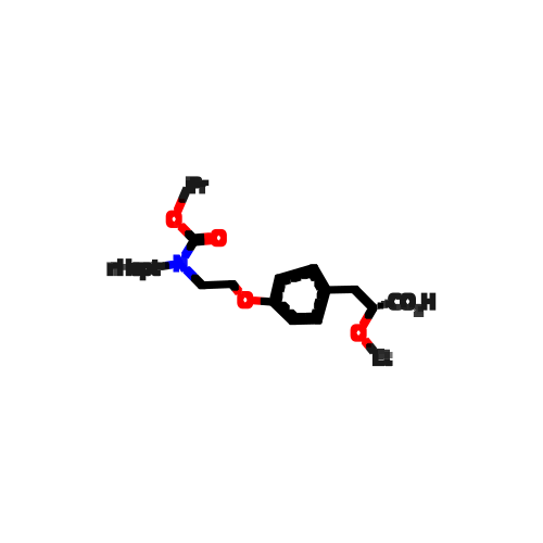 CCCCCCCN(CCOc1ccc(C[C@@H](OCC)C(=O)O)cc1)C(=O)OC(C)C